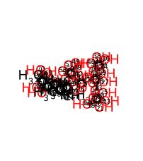 CC1(C)[C@@H](O[C@@H]2OC[C@H](O[C@@H]3O[C@H](CO[C@@H]4O[C@H](CO)[C@@H](O)[C@H](O)[C@H]4O)[C@@H](O)[C@H](O)[C@H]3O[C@@H]3OC[C@H](O)[C@H](O)[C@H]3O)[C@H](O)[C@H]2O[C@@H]2O[C@H](CO)[C@@H](O)[C@H](O)[C@H]2O)CC[C@]2(C)[C@H]3CC=C4[C@@H]5C[C@@](C)(C(=O)O)CC[C@]5(CO)[C@H](O)C[C@@]4(C)[C@]3(C)CC[C@@H]12